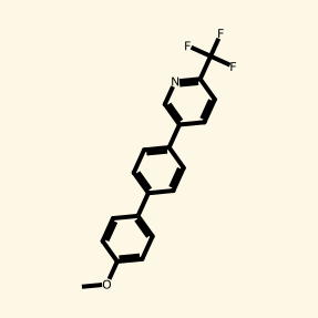 COc1ccc(-c2ccc(-c3ccc(C(F)(F)F)nc3)cc2)cc1